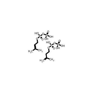 C=C(C)CCOP(=O)(O)OP(=O)(O)O.CC(C)=CCOP(=O)(O)OP(=O)(O)O